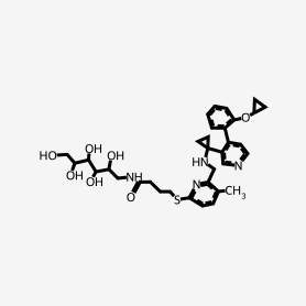 Cc1ccc(SCCCC(=O)NCC(O)C(O)C(O)C(O)CO)nc1CNC1(c2cnccc2-c2ccccc2OC2CC2)CC1